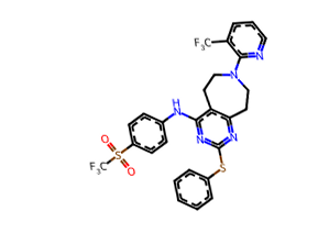 O=S(=O)(c1ccc(Nc2nc(Sc3ccccc3)nc3c2CCN(c2ncccc2C(F)(F)F)CC3)cc1)C(F)(F)F